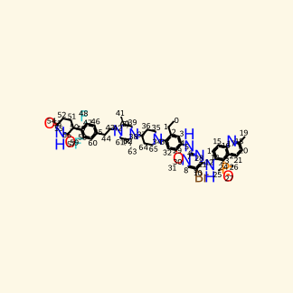 CCc1cc(Nc2ncc(Br)c(Nc3ccc4nc(C)ccc4c3P(C)(C)=O)n2)c(OC)cc1N1CCC(N2C[C@H](C)N(CCc3cc(F)c(C4CCC(=O)NC4=O)c(F)c3)C[C@H]2C)CC1